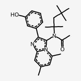 CC(=O)N(c1c(-c2cccc(O)c2)nc2cc(C)cc(C)n12)C(C)(C)CC(C)(C)C